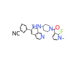 CC1C(c2cccc(C#N)c2)=Cc2ccncc2C1NC1CCN(C(=O)C2=CC=CN(C)C2F)CC1